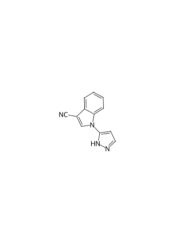 N#Cc1cn(-c2ccn[nH]2)c2ccccc12